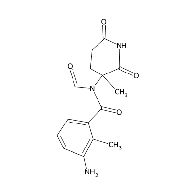 Cc1c(N)cccc1C(=O)N(C=O)C1(C)CCC(=O)NC1=O